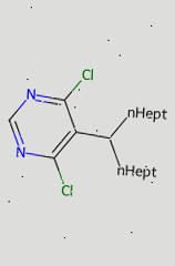 CCCCCCCC(CCCCCCC)c1c(Cl)ncnc1Cl